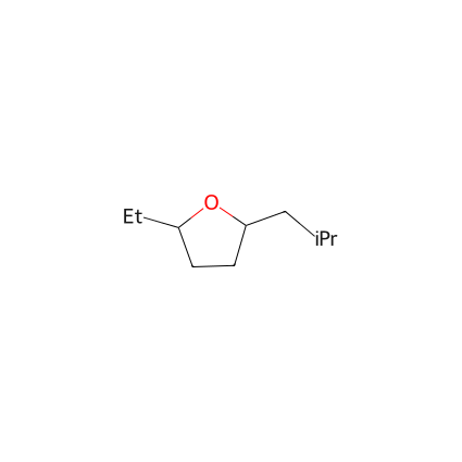 CCC1CCC(CC(C)C)O1